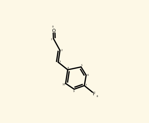 O=C/C=C/c1ccc(F)cc1